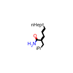 CCCCCCCC=CC=C(CC(C)C)C(N)=O